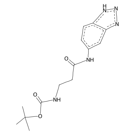 CC(C)(C)OC(=O)NCCC(=O)Nc1ccc2[nH]nnc2c1